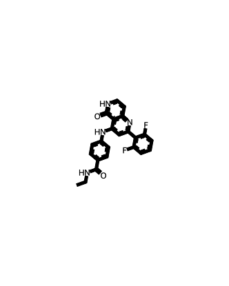 CCNC(=O)c1ccc(Nc2cc(-c3c(F)cccc3F)nc3cc[nH]c(=O)c23)cc1